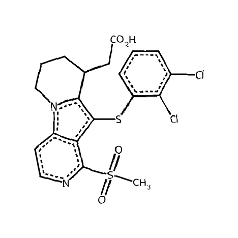 CS(=O)(=O)c1nccc2c1c(Sc1cccc(Cl)c1Cl)c1n2CCCC1CC(=O)O